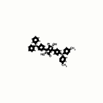 Cc1ccc(N(c2ccc(C)cc2)c2ccc(C3=C4C(=O)N(O)C(c5ccc(N(c6ccccc6)c6ccccc6)cc5)=C4C(=O)N3O)cc2)cc1